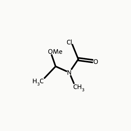 COC(C)N(C)C(=O)Cl